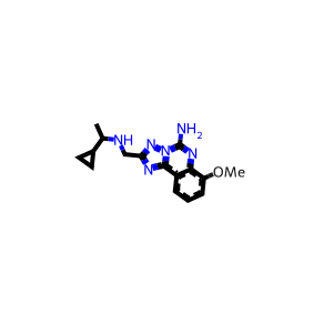 COc1cccc2c1nc(N)n1nc(CNC(C)C3CC3)nc21